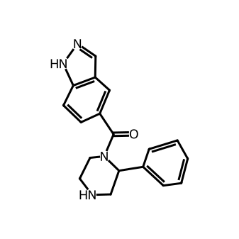 O=C(c1ccc2[nH]ncc2c1)N1CCNCC1c1ccccc1